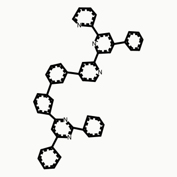 c1ccc(-c2cc(-c3ccccn3)nc(-c3cc(-c4cccc(-c5cccc(-c6cc(-c7ccccc7)nc(-c7ccccc7)n6)c5)c4)ccn3)c2)cc1